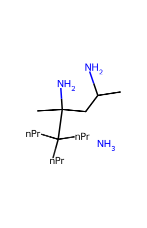 CCCC(CCC)(CCC)C(C)(N)CC(C)N.N